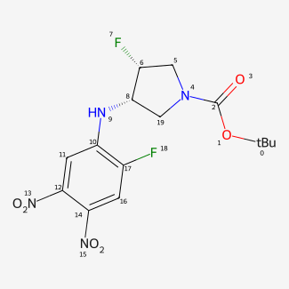 CC(C)(C)OC(=O)N1C[C@@H](F)[C@@H](Nc2cc([N+](=O)[O-])c([N+](=O)[O-])cc2F)C1